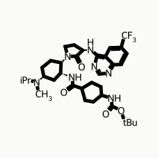 CC(C)N(C)[C@@H]1CC[C@H](N2CC[C@H](Nc3ncnc4ccc(C(F)(F)F)cc34)C2=O)[C@H](NC(=O)C2CCC(NC(=O)OC(C)(C)C)CC2)C1